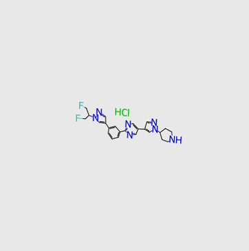 Cl.FCC(CF)n1cc(-c2cccc(-c3ncc(-c4cnn(C5CCNCC5)c4)cn3)c2)cn1